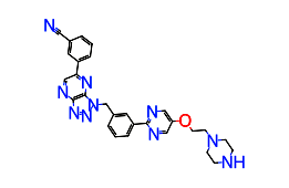 N#Cc1cccc(-c2cnc3nnn(Cc4cccc(-c5ncc(OCCN6CCNCC6)cn5)c4)c3n2)c1